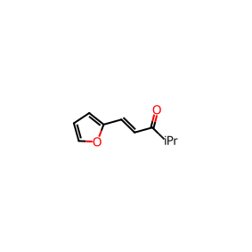 CC(C)C(=O)C=Cc1ccco1